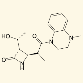 CC(C(=O)N1CCN(C)c2ccccc21)[C@H]1NC(=O)[C@@H]1[C@@H](C)O